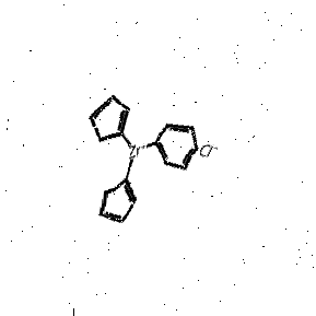 C1=CC[C]([Zr+]([C]2=CC=CC2)[c]2ccccc2)=C1.[Cl-]